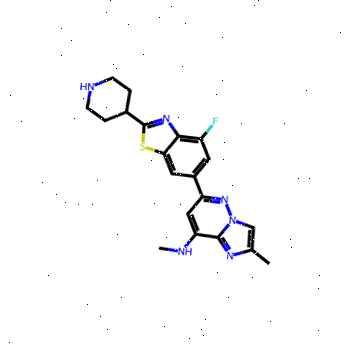 CNc1cc(-c2cc(F)c3nc(C4CCNCC4)sc3c2)nn2cc(C)nc12